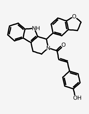 O=C(C=Cc1ccc(O)cc1)N1CCc2c([nH]c3ccccc23)C1c1ccc2c(c1)CCO2